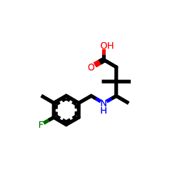 Cc1cc(CNC(C)C(C)(C)CC(=O)O)ccc1F